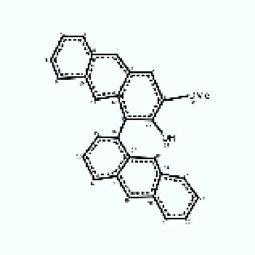 COc1cc2cc3ccccc3cc2c(-c2cccc3cc4ccccc4cc23)c1O